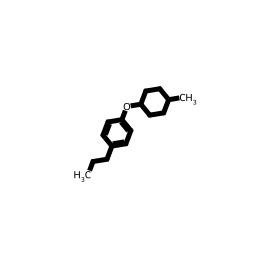 CCCc1ccc(OC2CCC(C)CC2)cc1